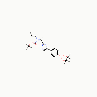 CCCN(C(=O)OC(C)(C)C)[C@@H](C)c1ncc(-c2ccc(B3OC(C)(C)C(C)(C)O3)cc2)[nH]1